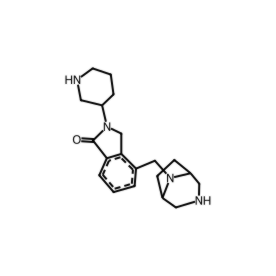 O=C1c2cccc(CN3C4CCC3CNC4)c2CN1C1CCCNC1